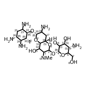 CNC1C(O[C@H]2OC(CO)[C@@H](N)[C@H](O)C2O)O[C@H]2CC(N)[C@@H](O[C@@H]3C(N)C[C@@H](N)C(N)[C@H]3F)OC2C1O